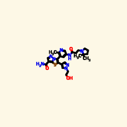 Cc1ncc(NC(=O)CCN2CCCC2(C)C)cc1-c1c(-c2cnn(CCO)c2)sc2c(C(N)=O)cnn12